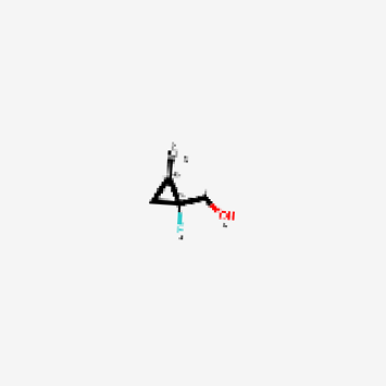 C[C@@H]1C[C@@]1(F)CO